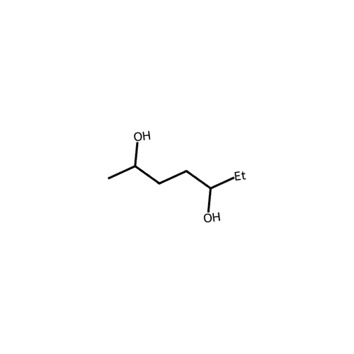 CCC(O)CCC(C)O